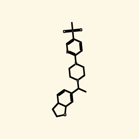 CC(C1=CC2OCCC2C=C1)N1CCN(c2ccc(S(C)(=O)=O)cn2)CC1